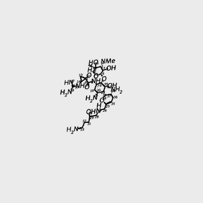 CN[C@@H]1[C@@H](O)[C@@H](O[C@H]2[C@H](NC(=O)C3(O)CC3NC(=N)N)C[C@H](N)C([C@H]3OC(CNCC(O)CCCN)=CC[C@H]3N)[C@@H]2O)OC[C@]1(C)O